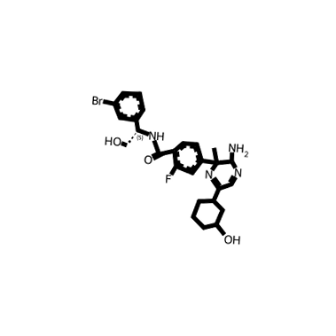 CC1(c2ccc(C(=O)N[C@H](CO)c3cccc(Br)c3)c(F)c2)N=C(C2CCCC(O)C2)C=NC1N